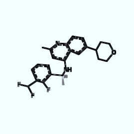 Cc1cc(N[C@H](C)c2cccc(C(F)F)c2F)c2cc(C3CCOCC3)ccc2n1